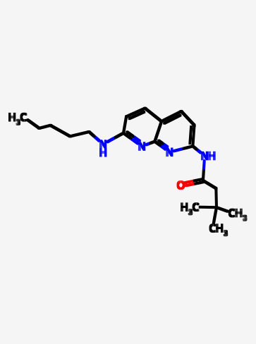 CCCCCNc1ccc2ccc(NC(=O)CC(C)(C)C)nc2n1